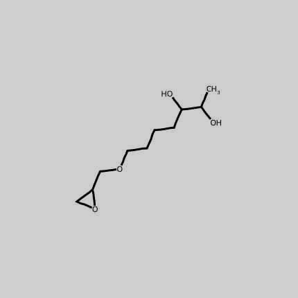 CC(O)C(O)CCCCOCC1CO1